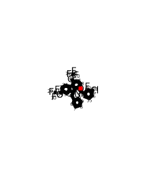 O=C(NC(Cc1ccccc1)(c1cccc(OC(F)(F)F)c1)c1cccc(OC(F)(F)F)c1)c1cccc(Cl)c1F